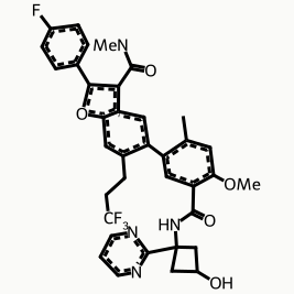 CNC(=O)c1c(-c2ccc(F)cc2)oc2cc(CCC(F)(F)F)c(-c3cc(C(=O)NC4(c5ncccn5)CC(O)C4)c(OC)cc3C)cc12